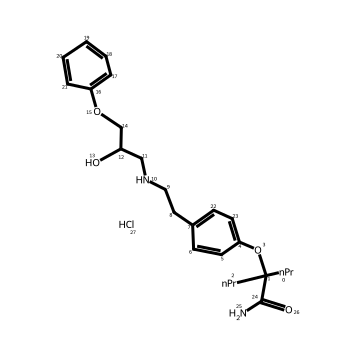 CCCC(CCC)(Oc1ccc(CCNCC(O)COc2ccccc2)cc1)C(N)=O.Cl